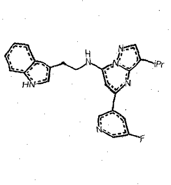 CC(C)c1cnn2c(NCCc3c[nH]c4ccccc34)cc(-c3cncc(F)c3)nc12